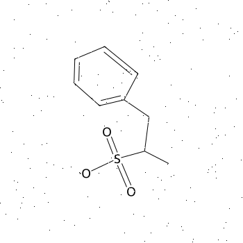 CC(Cc1ccccc1)S([O])(=O)=O